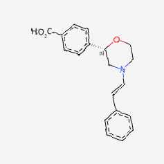 O=C(O)c1ccc([C@H]2CN(C=Cc3ccccc3)CCO2)cc1